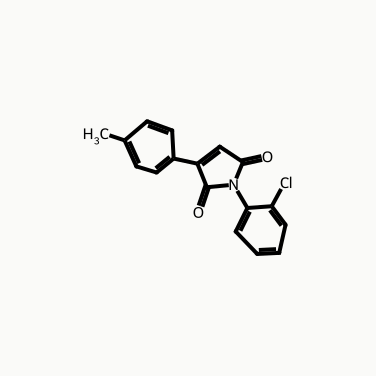 Cc1ccc(C2=CC(=O)N(c3ccccc3Cl)C2=O)cc1